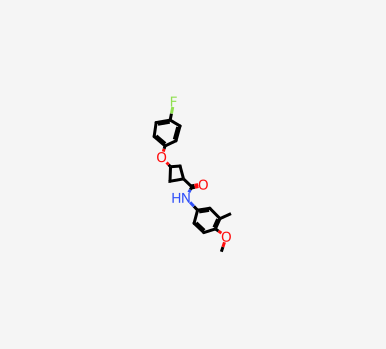 COc1ccc(NC(=O)C2CC(Oc3ccc(F)cc3)C2)cc1C